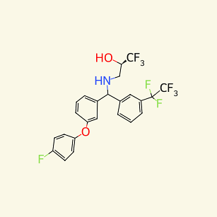 O[C@H](CNC(c1cccc(Oc2ccc(F)cc2)c1)c1cccc(C(F)(F)C(F)(F)F)c1)C(F)(F)F